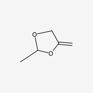 C=C1COC(C)O1